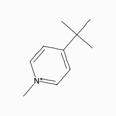 C[n+]1ccc(C(C)(C)C)cc1